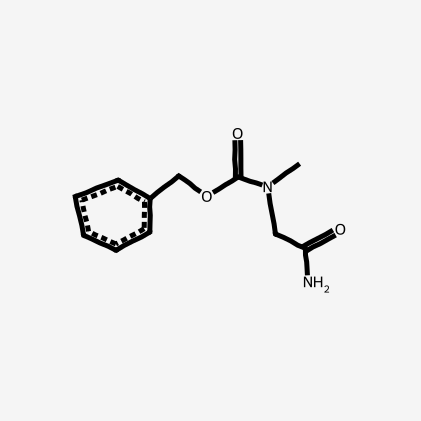 CN(CC(N)=O)C(=O)OCc1ccccc1